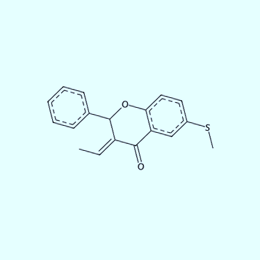 C/C=C1/C(=O)c2cc(SC)ccc2OC1c1ccccc1